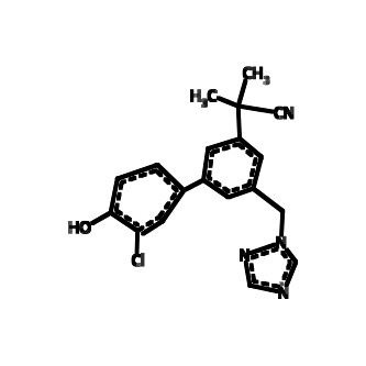 CC(C)(C#N)c1cc(Cn2cncn2)cc(-c2ccc(O)c(Cl)c2)c1